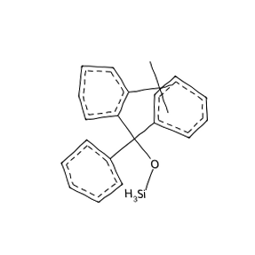 CC(C)(C)c1ccccc1C(O[SiH3])(c1ccccc1)c1ccccc1